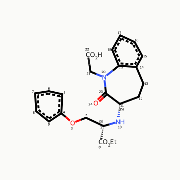 CCOC(=O)[C@H](COc1ccccc1)N[C@H]1CCc2ccccc2N(CC(=O)O)C1=O